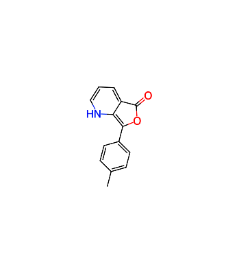 Cc1ccc(-c2oc(=O)c3ccc[nH]c2-3)cc1